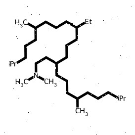 CCC(CCCC(C)CCCC(C)C)CCCC(CCCC(C)CCCC(C)C)CCN(C)C